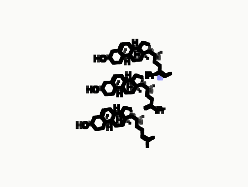 C/C=C(\CC[C@@H](C)[C@H]1CC[C@H]2[C@@H]3CC=C4C[C@@H](O)CC[C@]4(C)[C@H]3CC[C@]12C)C(C)C.C=C(CC[C@@H](C)[C@H]1CC[C@H]2[C@@H]3CC=C4C[C@@H](O)CC[C@]4(C)[C@H]3CC[C@]12C)C(C)C.CC(C)=CCC[C@@H](C)[C@H]1CC[C@H]2[C@@H]3CC=C4C[C@@H](O)CC[C@]4(C)[C@H]3CC[C@]12C